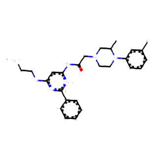 CC(=O)NCCNc1cc(NC(=O)CN2CCN(c3cccc(C)c3)C(C)C2)nc(-c2ccccc2)n1